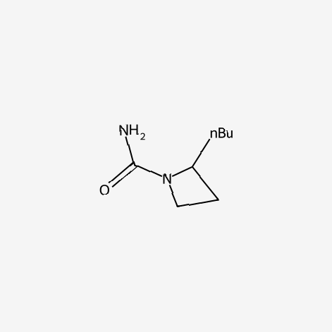 CCCCC1CCN1C(N)=O